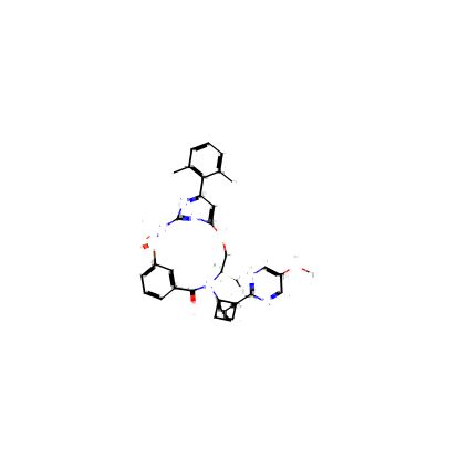 Cc1cccc(C)c1-c1cc2nc(n1)NS(=O)(=O)c1cccc(c1)C(=O)N(C13CC(C1)C3c1ncc(OC(C)C)cn1)[C@H](CC(C)C)CO2